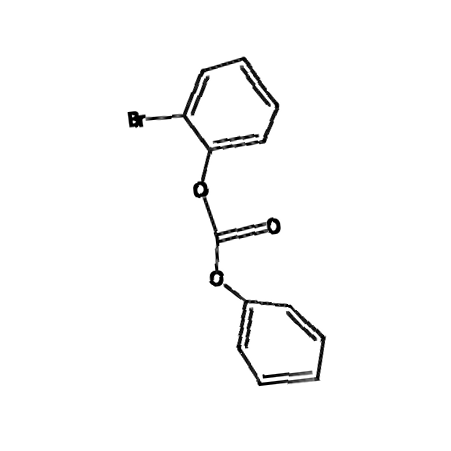 O=C(Oc1ccccc1)Oc1ccccc1Br